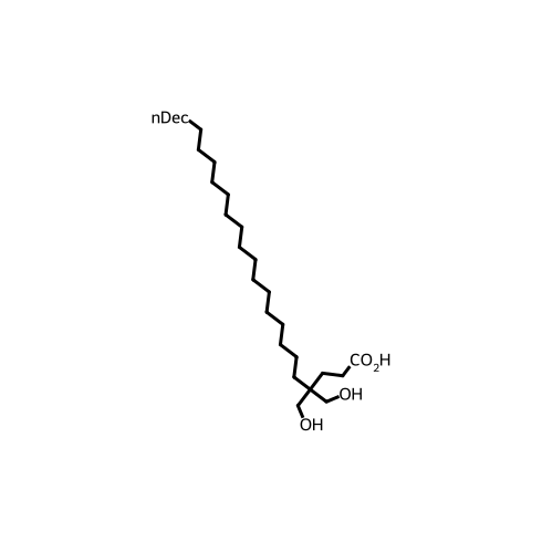 CCCCCCCCCCCCCCCCCCCCCCCCCCC(CO)(CO)CCC(=O)O